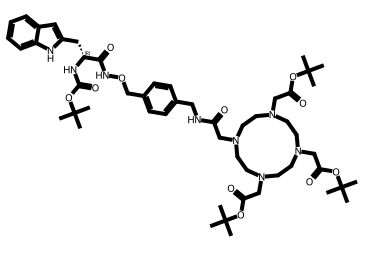 CC(C)(C)OC(=O)CN1CCN(CC(=O)NCc2ccc(CONC(=O)[C@@H](Cc3cc4ccccc4[nH]3)NC(=O)OC(C)(C)C)cc2)CCN(CC(=O)OC(C)(C)C)CCN(CC(=O)OC(C)(C)C)CC1